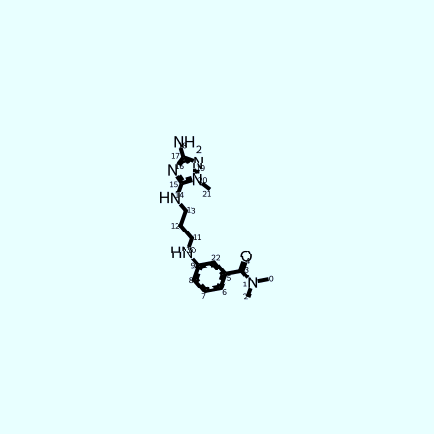 CN(C)C(=O)c1cccc(NCCCNc2nc(N)nn2C)c1